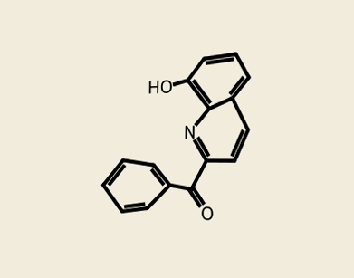 O=C(c1ccccc1)c1ccc2cccc(O)c2n1